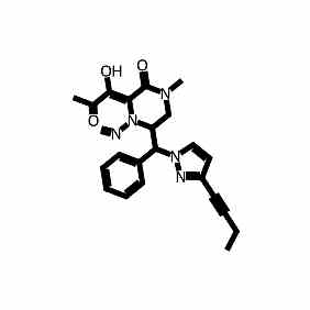 C=NN1/C(=C(/O)C(C)=O)C(=O)N(C)CC1C(c1ccccc1)n1ccc(C#CCC)n1